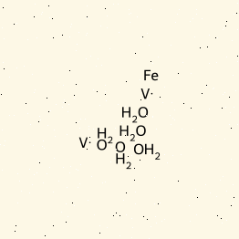 O.O.O.O.O.[Fe].[V].[V]